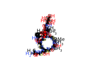 C=C(NC(=O)c1csc(-c2nc3c(cc2O)-c2nc(cs2)C(=O)N[C@@H]([C@@H](C)O)C(=O)N/C(=C(\C)OC)c2nc(cs2)C(=O)N[C@@H]2c4nc(cs4)C(=O)N[C@@H](COC(=O)c4[nH]c5cccc6c5c4COC2[C@H](O[C@H]2C[C@]4(C)OC(C(=O)NC[C@H](O)[C@@H](O)[C@H](O)[C@H](O)CO)N(C)[C@@H]4[C@H](C)O2)C(=O)OC6)c2nc-3cs2)n1)C(N)=O